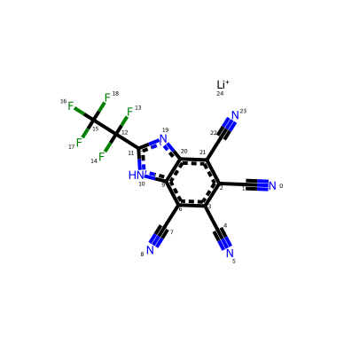 N#Cc1c(C#N)c(C#N)c2[nH]c(C(F)(F)C(F)(F)F)nc2c1C#N.[Li+]